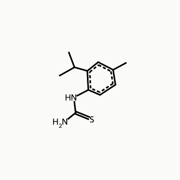 Cc1ccc(NC(N)=S)c(C(C)C)c1